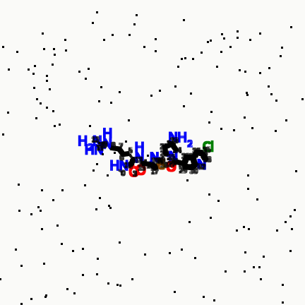 CNC(=O)[C@H](CCCCNC(=N)N)NC(=O)c1csc([C@@H]2C[C@@H](N)CN2C(=O)c2ccc3ncc(Cl)cc3c2)n1